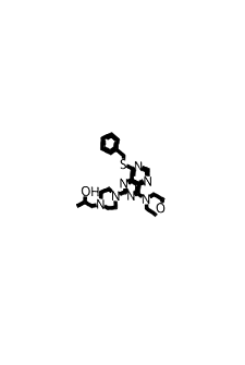 CC(O)CN1CCN(c2nc(N3CCOCC3)c3ncnc(SCc4ccccc4)c3n2)CC1